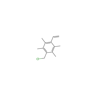 C=Cc1c(C)c(C)c(CCl)c(C)c1C